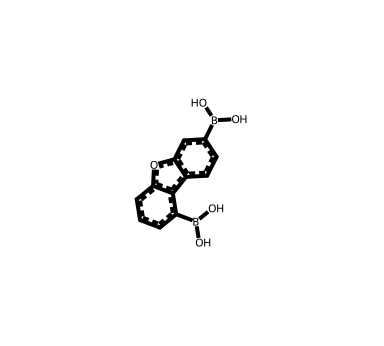 OB(O)c1ccc2c(c1)oc1cccc(B(O)O)c12